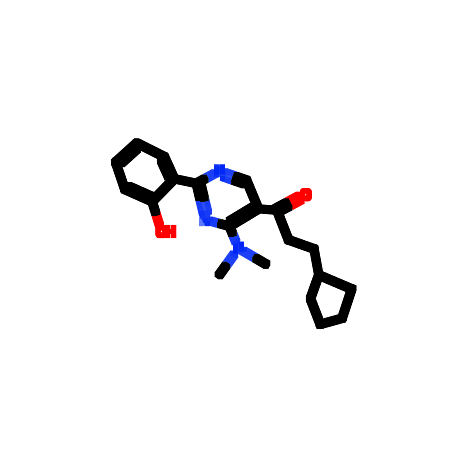 CN(C)c1nc(-c2ccccc2O)ncc1C(=O)CCC1CCCC1